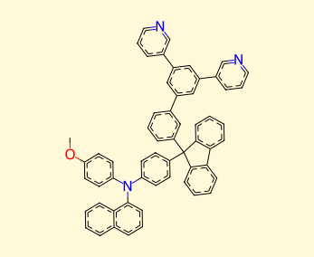 COc1ccc(N(c2ccc(C3(c4cccc(-c5cc(-c6cccnc6)cc(-c6cccnc6)c5)c4)c4ccccc4-c4ccccc43)cc2)c2cccc3ccccc23)cc1